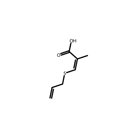 C=CCSC=C(C)C(=O)O